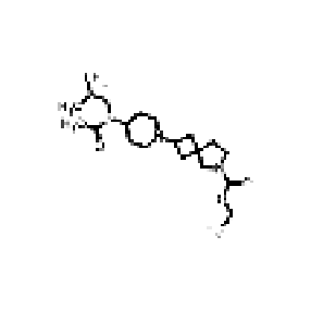 CCOC(=O)N1CCC2(CC(N3CCC(N(CC(C)C)C(C)=O)CC3)C2)C1